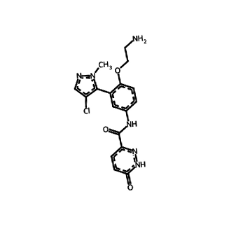 Cn1ncc(Cl)c1-c1cc(NC(=O)c2ccc(=O)[nH]n2)ccc1OCCN